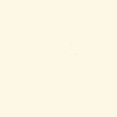 CCCCCCOC(=O)NC1=NCC(c2ccc(CCOCCC)cc2)N1C